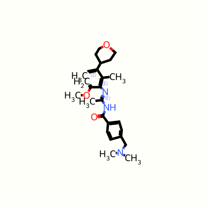 C=C(OC)C(/N=C(\C)NC(=O)c1ccc(CN(C)C)cc1)=C(C)\C(=C/C)C1CCOCC1